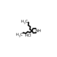 CCCCCC1(CCCCC)CCNCC1.Cl